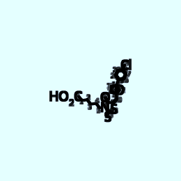 O=C(O)CCCCCN1C(=O)/C(=C\c2ccc(-c3ccc(Cl)cc3)o2)SC1=S